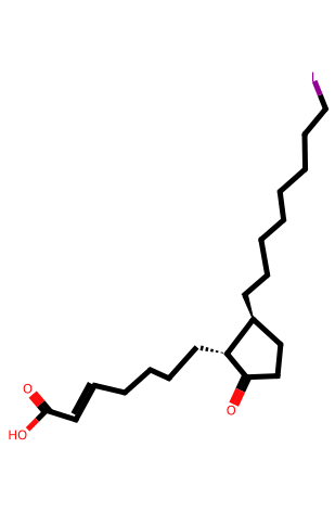 O=C(O)C=CCCCC[C@H]1C(=O)CC[C@@H]1CCCCCCCCI